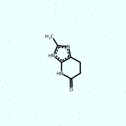 Cc1nc2c([nH]1)NC(=O)CC2